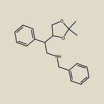 CC1(C)OCC(C(CNCc2ccccc2)c2ccccc2)O1